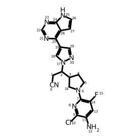 N#CCC(C1CCN(c2nc(Cl)c(N)cc2F)C1)n1cc(-c2ncnc3[nH]ccc23)cn1